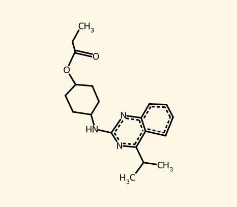 CCC(=O)OC1CCC(Nc2nc(C(C)C)c3ccccc3n2)CC1